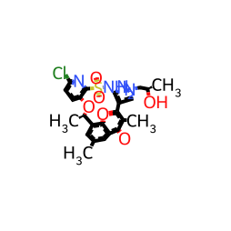 Cc1cc([C@@H](C)Oc2ccc(Cl)nc2S(N)(=O)=O)c2oc(-c3cnn(C[C@@H](C)O)c3)c(C)c(=O)c2c1